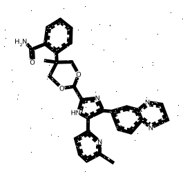 Cc1cccc(-c2[nH]c(C3OCC(C)(c4ccccc4C(N)=O)CO3)nc2-c2ccc3nccnc3c2)n1